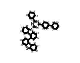 c1ccc(-c2ccc(-c3nc(-c4ccccc4)nc(-n4c5ccccc5c5c(-c6cccc7sc8ccccc8c67)cccc54)n3)cc2)cc1